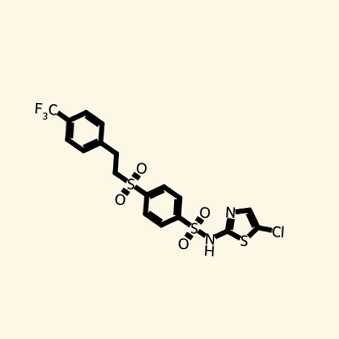 O=S(=O)(CCc1ccc(C(F)(F)F)cc1)c1ccc(S(=O)(=O)Nc2ncc(Cl)s2)cc1